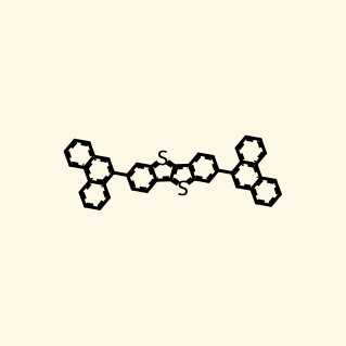 c1ccc2c(c1)cc(-c1ccc3c(c1)sc1c4ccc(-c5cc6ccccc6c6ccccc56)cc4sc31)c1ccccc12